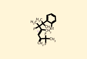 C=C(/C=C(\C)C(C)(F)C(C)(C)c1ccccc1CC)C(C)(F)F